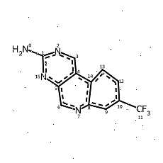 Nc1ncc2c(cnc3cc(C(F)(F)F)ccc32)n1